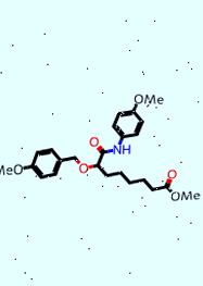 COC(=O)CCCCCC(OCc1ccc(OC)cc1)C(=O)Nc1ccc(OC)cc1